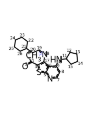 CC(=O)c1sc2nccc(NC3CCCC3)c2c1/N=C\CC1CCCCC1